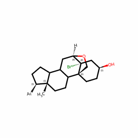 CC(=O)[C@H]1CCC2C3C[C@H]4OC[C@@]5(CC[C@H](O)C[C@]45Br)C3CC[C@@]21C